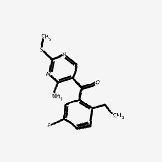 CCc1ccc(F)cc1C(=O)c1cnc(SC)nc1N